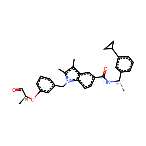 Cc1c(C)n(Cc2cccc(O[C@@H](C)C=O)c2)c2ccc(C(=O)N[C@@H](C)c3cccc(C4CC4)c3)cc12